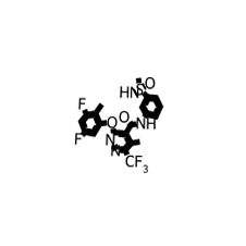 Cc1c(F)cc(F)cc1Oc1nnc(C(F)(F)F)c(C)c1C(=O)Nc1cccc(S(C)(=N)=O)c1